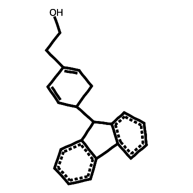 OCCC1=CCC(C2c3ccccc3-c3ccccc32)C=C1